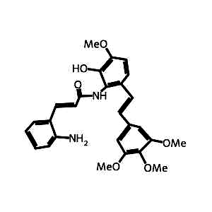 COc1ccc(C=Cc2cc(OC)c(OC)c(OC)c2)c(NC(=O)/C=C/c2ccccc2N)c1O